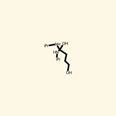 CC(C)NC(O)(CCCO)NC(C)C